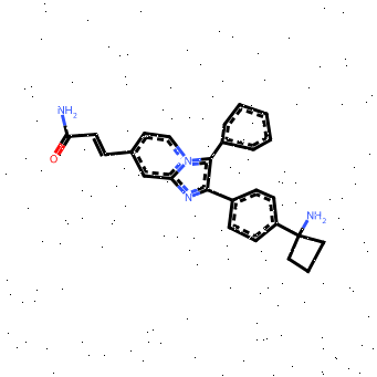 NC(=O)C=Cc1ccn2c(-c3ccccc3)c(-c3ccc(C4(N)CCC4)cc3)nc2c1